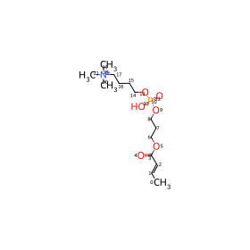 CC=CC(=O)OCCCOP(=O)(O)OCCCC[N+](C)(C)C